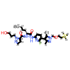 CCc1c(-c2ccc(NC(=O)[C@H](CCC[C@H](C)CC)NC(=O)c3ccnn3CCCO)nc2F)c(C)nn1COCCS(C)(C)C